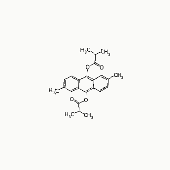 Cc1ccc2c(OC(=O)C(C)C)c3cc(C)ccc3c(OC(=O)C(C)C)c2c1